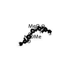 COc1cc2c(cc1OCc1cccc(COc3cc4c(cc3OC)C(=O)N3CC=C(c5ccsc5)CC3C=N4)c1)N=CC1CC(c3ccsc3)=CCN1C2=O